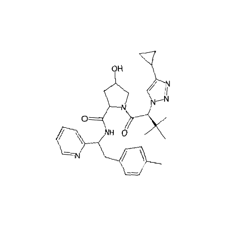 Cc1ccc(CC(NC(=O)C2CC(O)CN2C(=O)[C@@H](n2cc(C3CC3)nn2)C(C)(C)C)c2ccccn2)cc1